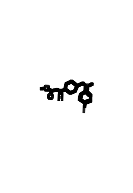 COC(=O)CNC1CCC(CN(C)c2ccc(I)cc2)CC1